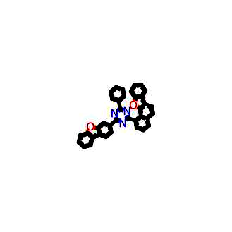 c1ccc(-c2nc(-c3ccc4c(c3)oc3ccccc34)nc(-c3cccc4ccc5c6ccccc6oc5c34)n2)cc1